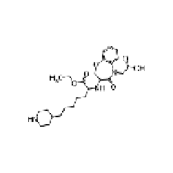 CCOC(=O)[C@H](CCCCCC1CCNCC1)NC1COc2ccccc2N(CC(=O)O)C1=O